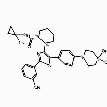 N#Cc1cccc(-c2nc([C@@H]3CCCC[C@H]3C(=O)NC3(C#N)CC3)c(-c3ccc(N4CCS(O)(O)CC4)cc3)s2)c1